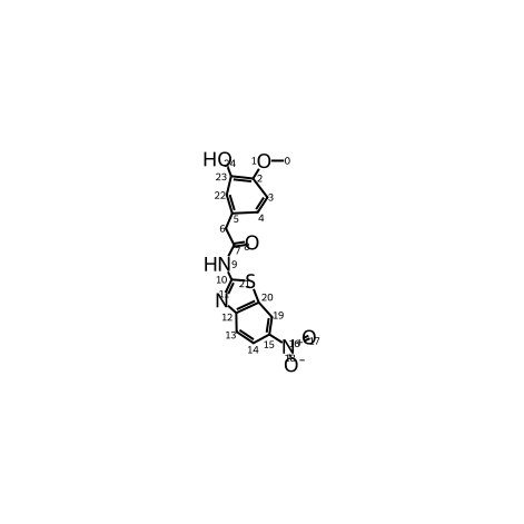 COc1ccc(CC(=O)Nc2nc3ccc([N+](=O)[O-])cc3s2)cc1O